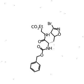 CCOC(=O)CNC(=O)[C@H](CC1CC(Br)=NO1)NC(=O)OCc1ccccc1